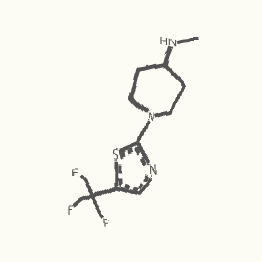 CNC1CCN(c2ncc(C(F)(F)F)s2)CC1